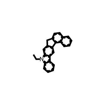 CCn1c2ccccc2c2cc3c(cc21)Cc1ccc2ccccc2c1-3